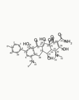 Cc1ccc(-c2cc(N(C)C)c3c(c2O)C(=O)C2=C(O)[C@]4(O)C(=O)C(C(N)=O)=C(O)[C@@H](N(C)C)C4C(O)C2C3)cc1